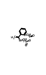 C=C(N)c1ccccc1.O=[PH](O)O[PH](=O)O